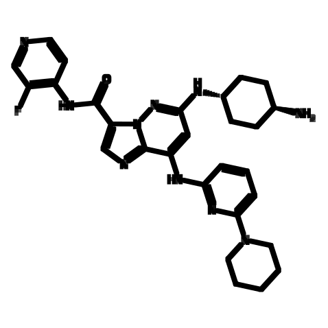 N[C@H]1CC[C@H](Nc2cc(Nc3cccc(N4CCCCC4)n3)c3ncc(C(=O)Nc4ccncc4F)n3n2)CC1